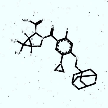 COC(=O)[C@@H]1[C@@H]2[C@H](CN1C(=O)c1cc(C3CC3)c(OCC34CC5CC(CC(C5)C3)C4)cc1F)C2(C)C